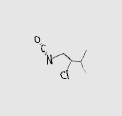 CC(C)C(Cl)CN=C=O